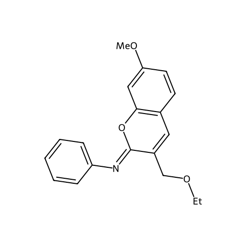 CCOCc1cc2ccc(OC)cc2o/c1=N\c1ccccc1